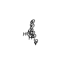 C=C1CO[C@@H](CC[C@@H]2C[C@H]3OC4C(OC5CCC(CC(=O)CC6CCO[C@H]6C)O[C@@H]5C4O)C3O2)C1